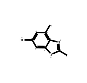 Cc1nc2c(C)cc(O)cc2s1